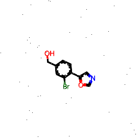 OCc1ccc(-c2cnco2)c(Br)c1